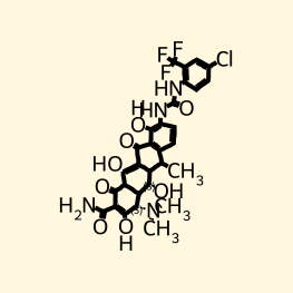 CC1c2ccc(NC(=O)Nc3ccc(Cl)cc3C(F)(F)F)c(O)c2C(=O)C2=C(O)C3C(=O)C(C(N)=O)=C(O)[C@@H](N(C)C)C3[C@@H](O)C21